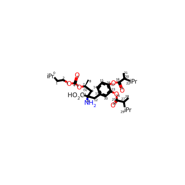 CC(C)CCOC(=O)O[C@@H](C)CC(N)(Cc1ccc(OC(=O)C(C)C(C)C)c(OC(=O)C(C)C(C)C)c1)C(=O)O